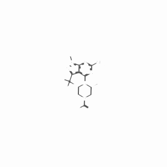 C[C@H]1CN(C(=O)O)CCN1c1nc(N)nc2c1c(C(F)(F)F)nn2C